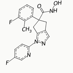 Cc1c(F)cccc1C1(C(=O)NO)Cc2cnn(-c3ccc(F)cn3)c2C1